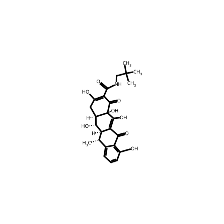 C[C@H]1c2cccc(O)c2C(=O)C2=C(O)[C@]3(O)C(=O)C(C(=O)NCC(C)(C)C)=C(O)C[C@@H]3[C@@H](O)[C@@H]21